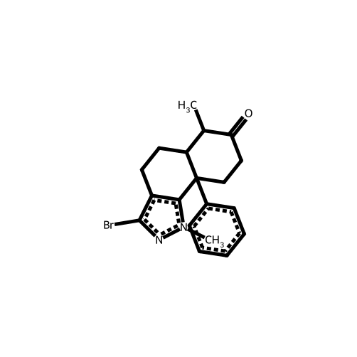 CC1C(=O)CCC2(c3ccccc3)c3c(c(Br)nn3C)CCC12